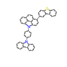 c1ccc2c(c1)sc1ccc(-c3ccc4c5c3ccc3cccc(c35)n4-c3ccc(-n4c5ccccc5c5ccccc54)cc3)cc12